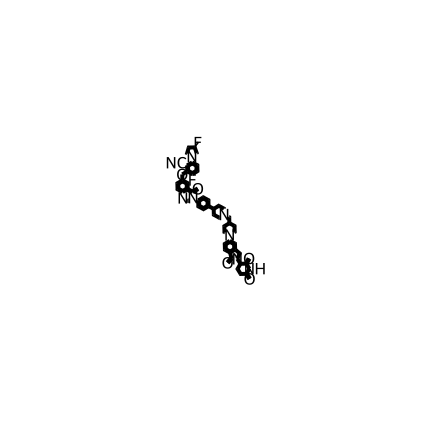 N#Cc1c(N2CC[C@@H](F)C2)ccc(F)c1Oc1ccc2ncn(-c3ccc(C4CCN(CC5CCN(c6ccc7c(c6)CN(C6CCC(=O)NC6=O)C7=O)CC5)CC4)cc3)c(=O)c2c1